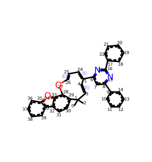 CC1(C)/C=C/C(c2cc(-c3ccccc3)nc(-c3ccccc3)n2)=C\C=C\Oc2c1ccc1c2oc2ccccc21